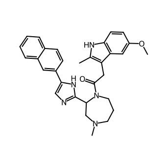 COc1ccc2[nH]c(C)c(CC(=O)N3CCCN(C)CC3c3ncc(-c4ccc5ccccc5c4)[nH]3)c2c1